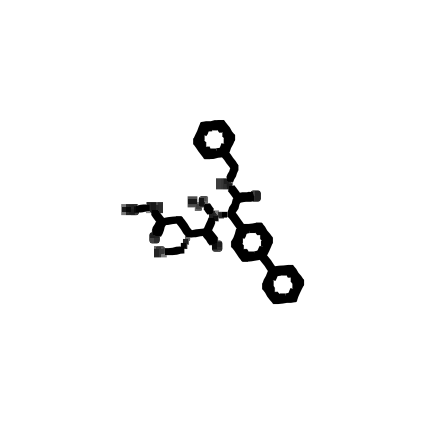 CC(C)C[C@H](CC(=O)NO)C(=O)N(C)[C@H](C(=O)NCc1ccccc1)c1ccc(-c2ccccc2)cc1